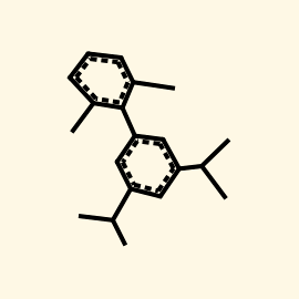 Cc1cccc(C)c1-c1cc(C(C)C)cc(C(C)C)c1